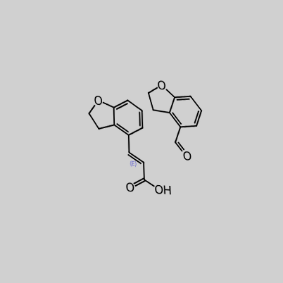 O=C(O)/C=C/c1cccc2c1CCO2.O=Cc1cccc2c1CCO2